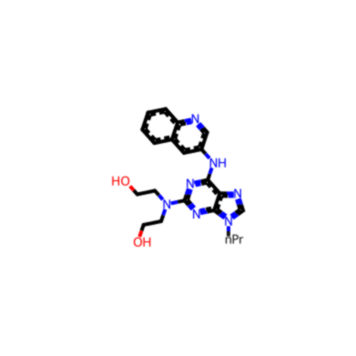 CCCn1cnc2c(Nc3cnc4ccccc4c3)nc(N(CCO)CCO)nc21